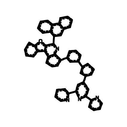 c1ccc(-c2cc(-c3cccc(-c4cccc(-c5cccc6c5nc(-c5cc7ccccc7c7ccccc57)c5oc7ccccc7c56)c4)c3)cc(-c3ccccn3)n2)nc1